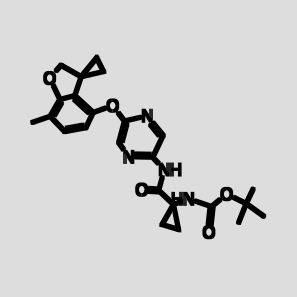 Cc1ccc(Oc2cnc(NC(=O)C3(NC(=O)OC(C)(C)C)CC3)cn2)c2c1OCC21CC1